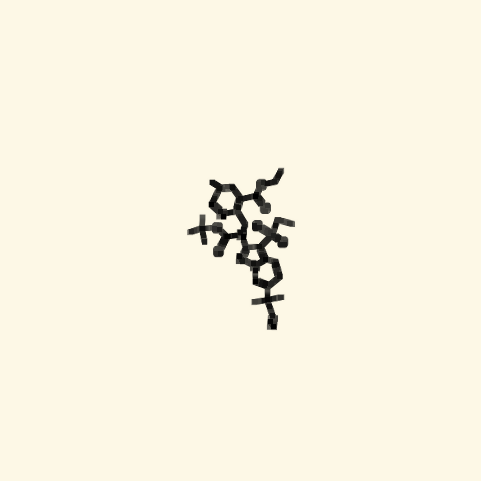 CCOC(=O)c1cc(C)cnc1CN(C(=O)OC(C)(C)C)c1nn2cc(C(C)(C)C#N)ccc2c1S(=O)(=O)CC